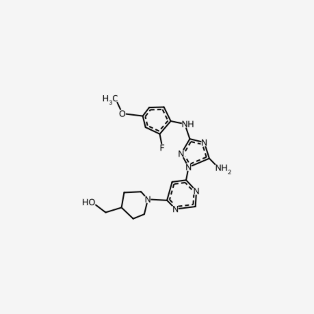 COc1ccc(Nc2nc(N)n(-c3cc(N4CCC(CO)CC4)ncn3)n2)c(F)c1